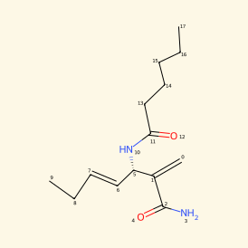 C=C(C(N)=O)[C@H](/C=C/CC)NC(=O)CCCCC